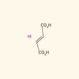 I.O=C(O)C=CC(=O)O